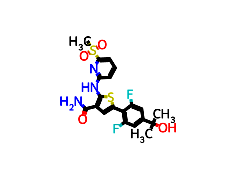 CC(C)(O)c1cc(F)c(-c2cc(C(N)=O)c(Nc3cccc(S(C)(=O)=O)n3)s2)c(F)c1